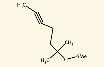 CC#CCCC(C)(C)OSC